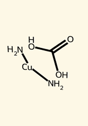 O=C(O)O.[NH2][Cu][NH2]